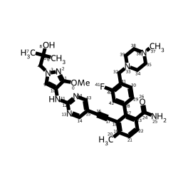 COc1nn(CC(C)(C)O)cc1Nc1ncc(C#Cc2c(C)ccc(C(N)=O)c2-c2ccc(CN3CCN(C)CC3)c(F)c2)cn1